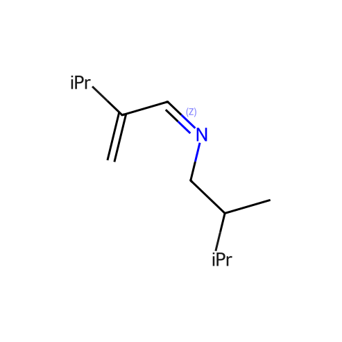 C=C(/C=N\CC(C)C(C)C)C(C)C